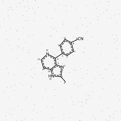 Cc1nc2c(-c3ccc(C#N)cc3)nccc2[nH]1